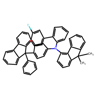 CC1(C)c2ccccc2-c2c(N(c3ccc(C4(c5ccccc5)c5ccccc5-c5ccccc54)cc3)c3ccccc3-c3cccc(F)c3)cccc21